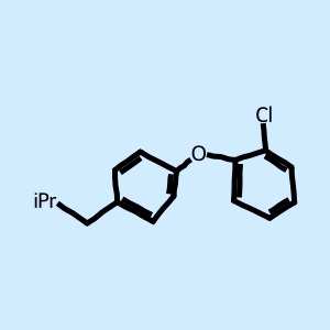 CC(C)Cc1ccc(Oc2ccccc2Cl)cc1